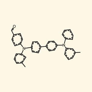 Cc1cccc(N(c2ccccc2)c2ccc(-c3ccc(N(c4ccc(C=O)cc4)c4cccc(C)c4)cc3)cc2)c1